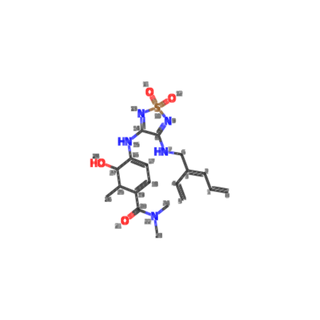 C=C/C=C(\C=C)CNC1=NS(=O)(=O)N=C1NC1=CC=C(C(=O)N(C)C)C(C)C1O